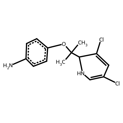 CC(C)(Oc1ccc(N)cc1)C1NC=C(Cl)C=C1Cl